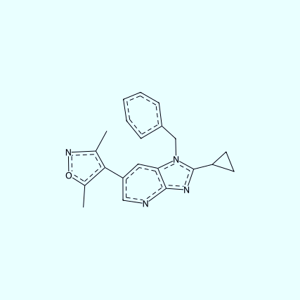 Cc1noc(C)c1-c1cnc2nc(C3CC3)n(Cc3ccccc3)c2c1